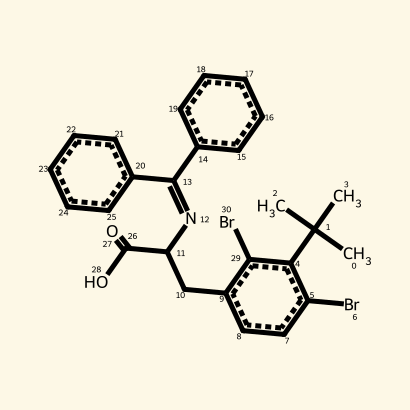 CC(C)(C)c1c(Br)ccc(CC(N=C(c2ccccc2)c2ccccc2)C(=O)O)c1Br